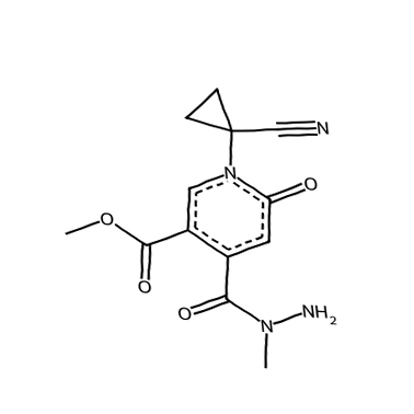 COC(=O)c1cn(C2(C#N)CC2)c(=O)cc1C(=O)N(C)N